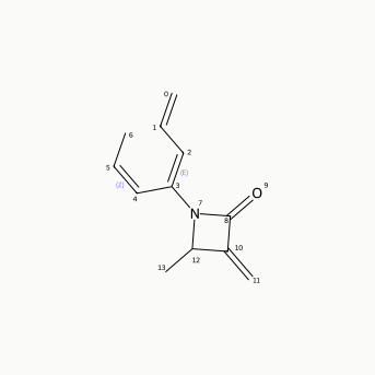 C=C/C=C(\C=C/C)N1C(=O)C(=C)C1C